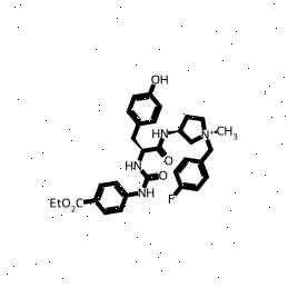 CCOC(=O)c1ccc(NC(=O)N[C@@H](Cc2ccc(O)cc2)C(=O)N[C@H]2CC[N@@+](C)(Cc3ccc(F)cc3)C2)cc1